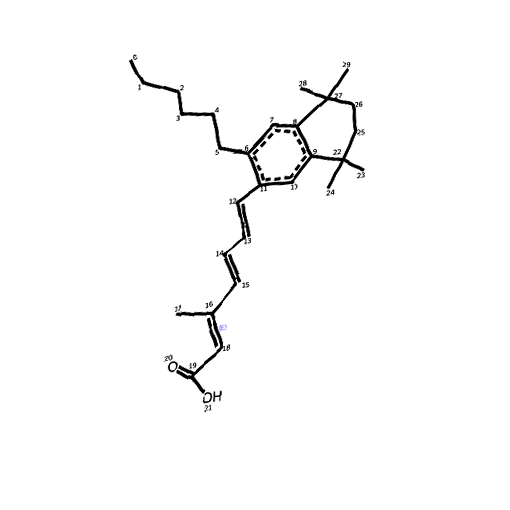 CCCCCCc1cc2c(cc1C=CC=C/C(C)=C/C(=O)O)C(C)(C)CCC2(C)C